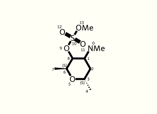 CNC1C[C@H](C)O[C@@H](C)C1OS(=O)(=O)OC